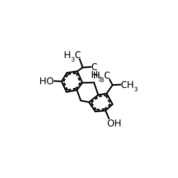 CC(C)c1cc(O)cc2c1Cc1c(cc(O)cc1C(C)C)C2